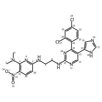 CN(C)c1nc(NCCNc2ncc(-c3cnc[nH]3)c(-c3ccc(Cl)cc3Cl)n2)ccc1[N+](=O)[O-]